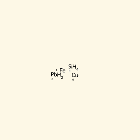 [Cu].[Fe].[PbH2].[SiH4]